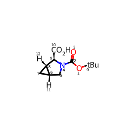 CC(C)(C)OC(=O)N1C[C@@H]2C[C@@H]2[C@H]1C(=O)O